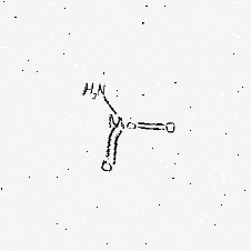 [NH2][Mo](=[O])=[O]